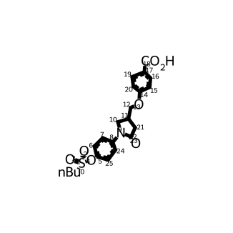 CCCCS(=O)(=O)Oc1ccc(N2CC(COc3ccc(C(=O)O)cc3)CC2=O)cc1